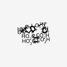 CN(CCOc1ccc(CC2SC(=O)NC2=O)cc1)c1ccccn1.O=C(O)/C=C\C(=O)O.O=C(O)/C=C\C(=O)O